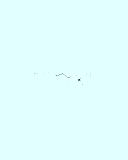 [CH2]OCCCOC(C)(C)C